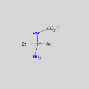 CCC(N)(NC(=O)O)C(C)=O